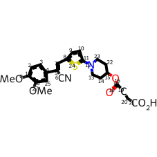 COc1ccc(/C(C#N)=C/c2ccc(N3CCC(OC(=O)CCC(=O)O)CC3)s2)cc1OC